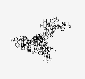 CC[C@H](C)[C@@H]([C@@H](CC(=O)N1CCC[C@H]1[C@H](OC)[C@@H](C)C(=O)N[C@H](C)[C@@H](O)c1ccccc1)OC)N(C)C(=O)[C@@H](NC(=O)[C@H](C(C)C)N(C)C(=O)OCc1ccc(NC(=O)[C@H](CCCNC(N)=O)NC(=O)[C@@H](N)C(C)C)cc1S(=O)(=O)O)C(C)C